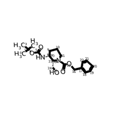 CC(C)(C)OC(=O)N[C@@H]1CCCN(C(=O)OCc2ccccc2)[C@@H]1CO